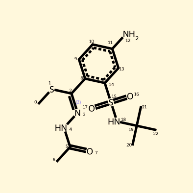 CS/C(=N\NC(C)=O)c1ccc(N)cc1S(=O)(=O)NC(C)(C)C